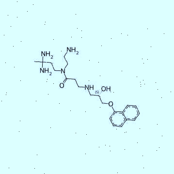 CC(N)(N)CCN(CCN)C(=O)CCNC[C@H](O)COc1cccc2ccccc12